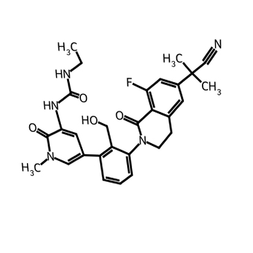 CCNC(=O)Nc1cc(-c2cccc(N3CCc4cc(C(C)(C)C#N)cc(F)c4C3=O)c2CO)cn(C)c1=O